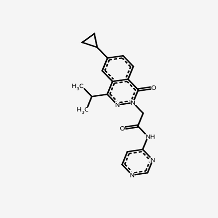 CC(C)c1nn(CC(=O)Nc2ccncn2)c(=O)c2ccc(C3CC3)cc12